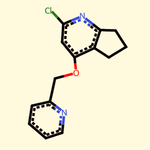 Clc1cc(OCc2ccccn2)c2c(n1)CCC2